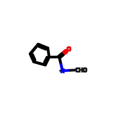 O=C[N]C(=O)c1ccccc1